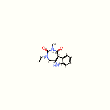 CCN1Cc2[nH]c3ccccc3c2C(=O)N(C)C1=O